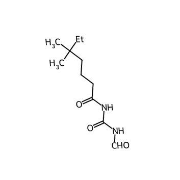 CCC(C)(C)CCCC(=O)NC(=O)NC=O